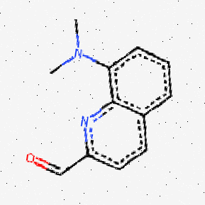 CN(C)c1cccc2ccc(C=O)nc12